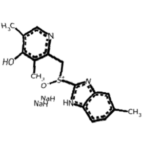 Cc1ccc2[nH]c([S+]([O-])Cc3ncc(C)c(O)c3C)nc2c1.[NaH].[NaH]